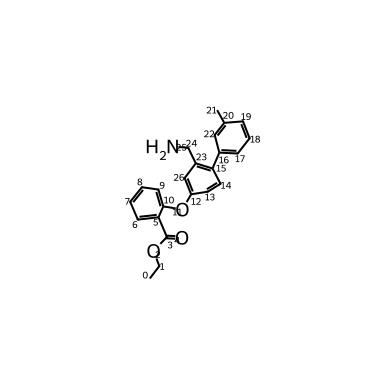 CCOC(=O)c1ccccc1Oc1ccc(-c2cccc(C)c2)c(CN)c1